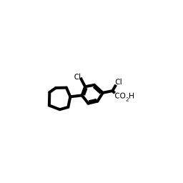 O=C(O)C(Cl)c1ccc(C2CCCCCC2)c(Cl)c1